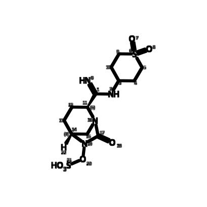 N=C(NC1CCS(=O)(=O)CC1)[C@@H]1CC[C@@H]2CN1C(=O)N2OS(=O)(=O)O